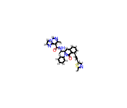 Cc1ncc(C#Cc2cccc3cc(C(C)NC(=O)c4c(C)ncn5ccnc45)n(-c4ccccc4)c(=O)c23)s1